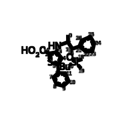 CC(Nc1cc(-c2ccccc2)sc1C(=O)O)[C@@H](O[Si](C)(C)C(C)(C)C)c1ccccc1